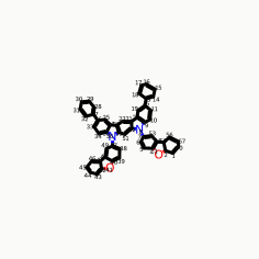 C1=CC2Oc3ccc(-n4c5ccc(-c6ccccc6)cc5c5cc6c7cc(-c8ccccc8)ccc7n(-c7ccc8oc9ccccc9c8c7)c6cc54)cc3C2C=C1